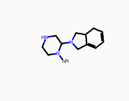 CCCN1CCNCC1N1CC2=CC=CCC2C1